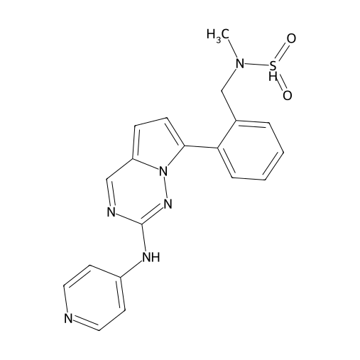 CN(Cc1ccccc1-c1ccc2cnc(Nc3ccncc3)nn12)[SH](=O)=O